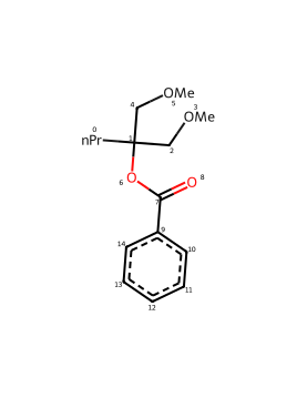 CCCC(COC)(COC)OC(=O)c1ccccc1